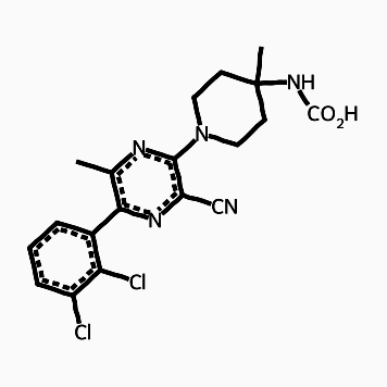 Cc1nc(N2CCC(C)(NC(=O)O)CC2)c(C#N)nc1-c1cccc(Cl)c1Cl